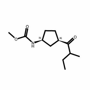 CCC(C)C(=O)[C@@H]1CC[C@H](NC(=O)OC)C1